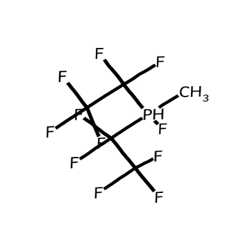 C[PH](F)(C(F)(F)C(F)(F)F)C(F)(F)C(F)(F)F